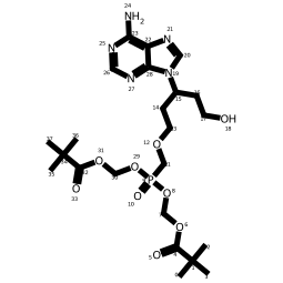 CC(C)(C)C(=O)OCOP(=O)(COCCC(CCO)n1cnc2c(N)ncnc21)OCOC(=O)C(C)(C)C